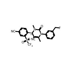 CC1=C(C#N)[C@@H](c2ccc(C#N)cc2S(=O)(=O)C(F)(F)F)N(C)C(=O)N1c1cccc(CF)c1